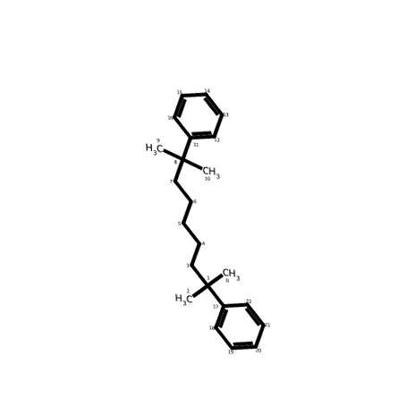 CC(C)(CCCCCC(C)(C)c1ccccc1)c1ccccc1